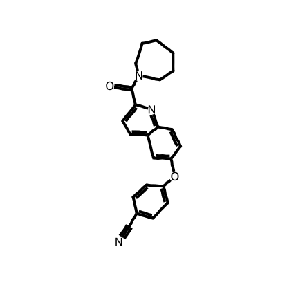 N#Cc1ccc(Oc2ccc3nc(C(=O)N4CCCCCC4)ccc3c2)cc1